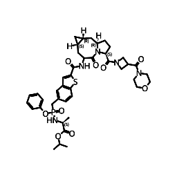 CC(C)OC(=O)[C@H](C)NP(=O)(Cc1ccc2sc(C(=O)NC3C[C@@H]4C[C@@H]4C[C@H]4CC[C@@H](C(=O)N5CC(C(=O)N6CCOCC6)C5)N4C3=O)cc2c1)Oc1ccccc1